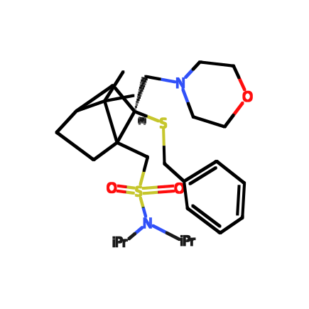 CC(C)N(C(C)C)S(=O)(=O)CC12CCC(C[C@@]1(CN1CCOCC1)SCc1ccccc1)C2(C)C